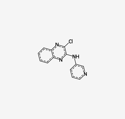 Clc1nc2ccccc2nc1Nc1cccnc1